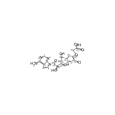 Nc1ncnc2c1ccn2[C@@H]1O[C@H]([C@H](O)c2ccc(Cl)c(OCC(=O)O)c2)[C@@H](O)[C@H]1O